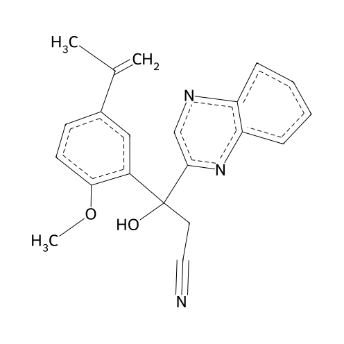 C=C(C)c1ccc(OC)c(C(O)(CC#N)c2cnc3ccccc3n2)c1